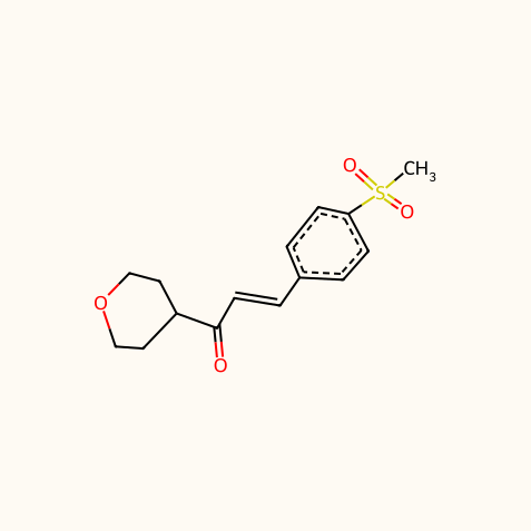 CS(=O)(=O)c1ccc(C=CC(=O)C2CCOCC2)cc1